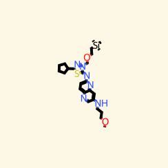 COCCCNc1cnc2ccc(/N=c3\sc(C4CCCC4)nn3COCC[Si](C)(C)C)nc2c1